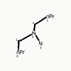 CCCCN([N])CCCC